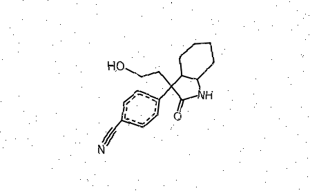 N#Cc1ccc(C2(CCO)C(=O)NC3CCCCC32)cc1